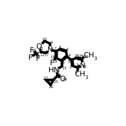 Cc1cc(-c2ccc(N3CCO[C@@H](C(F)(F)F)C3)c(F)c2CNC(=O)C2CC2)cc(C)n1